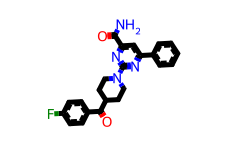 NC(=O)c1cc(-c2ccccc2)nc(N2CCC(C(=O)c3ccc(F)cc3)CC2)n1